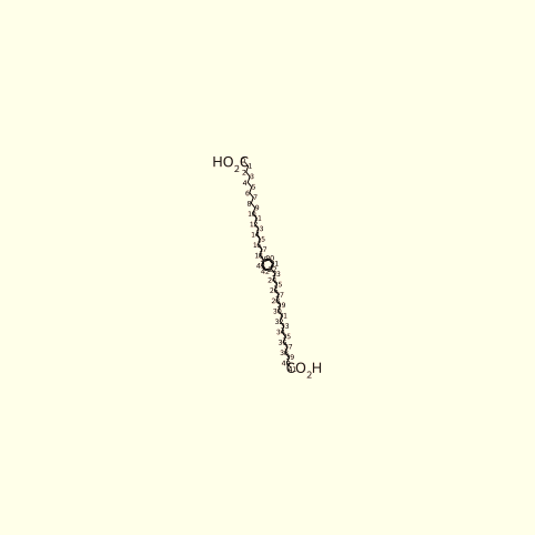 O=C(O)CCCCCCCCCCCCCCCCCCc1ccc(CCCCCCCCCCCCCCCCCCC(=O)O)cc1